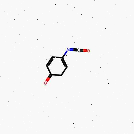 O=C=NC1=CCC(=O)C=C1